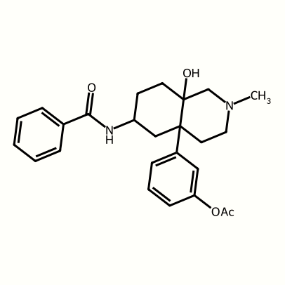 CC(=O)Oc1cccc(C23CCN(C)CC2(O)CCC(NC(=O)c2ccccc2)C3)c1